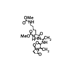 C=C(NC(=O)C(=C)N1C(=O)C=CC1=O)NC(=O)C(CCCCNC(=O)OC)NC(=O)OC